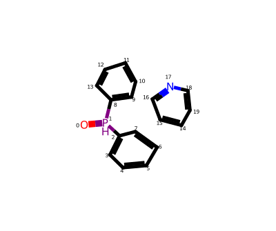 O=[PH](c1ccccc1)c1ccccc1.c1ccncc1